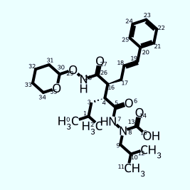 CC(C)C[C@@H](C(=O)NN(CC(C)C)C(=O)O)[C@H](C/C=C/c1ccccc1)C(=O)NOC1CCCCO1